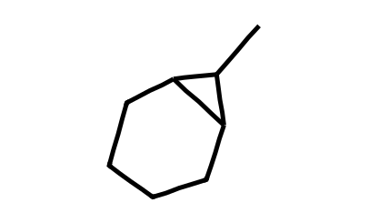 CC1C2CCCCC12